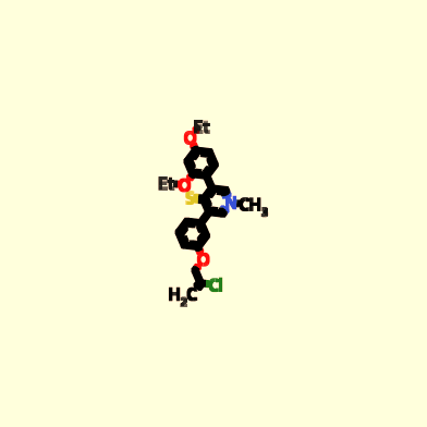 C=C(Cl)COc1cccc(-c2cn(C)cc(-c3ccc(OCC)cc3OCC)c2=S)c1